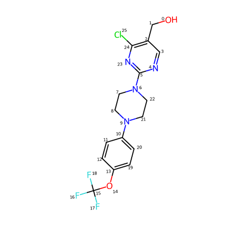 OCc1cnc(N2CCN(c3ccc(OC(F)(F)F)cc3)CC2)nc1Cl